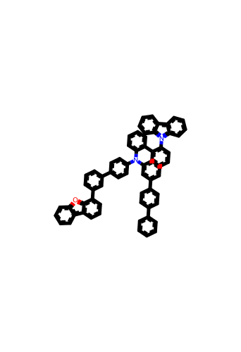 c1ccc(-c2ccc(-c3cccc(N(c4ccc(-c5cccc(-c6cccc7c6oc6ccccc67)c5)cc4)c4ccccc4-c4ccccc4-n4c5ccccc5c5ccccc54)c3)cc2)cc1